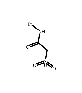 CCNC(=O)C[SH](=O)=O